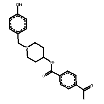 CC(=O)c1ccc(C(=O)NC2CCN(Cc3ccc(O)cc3)CC2)cc1